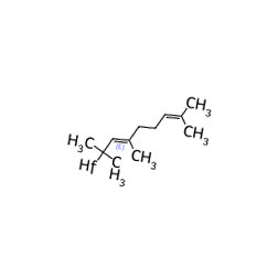 CC(C)=CCC/C(C)=C/[C](C)(C)[Hf]